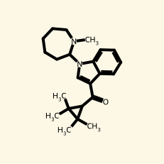 CN1CCCCCC1n1cc(C(=O)C2C(C)(C)C2(C)C)c2ccccc21